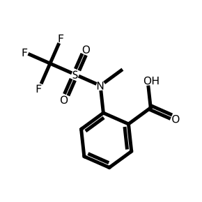 CN(c1ccccc1C(=O)O)S(=O)(=O)C(F)(F)F